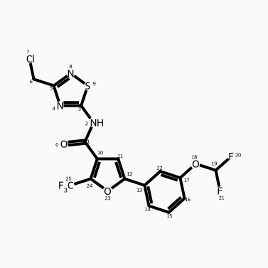 O=C(Nc1nc(CCl)ns1)c1cc(-c2cccc(OC(F)F)c2)oc1C(F)(F)F